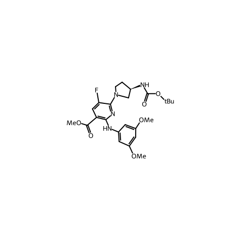 COC(=O)c1cc(F)c(N2CC[C@@H](NC(=O)OC(C)(C)C)C2)nc1Nc1cc(OC)cc(OC)c1